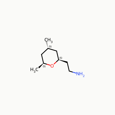 C[C@@H]1C[C@@H](CCN)O[C@@H](C)C1